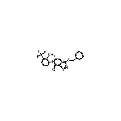 Cc1c(-n2ccn3c(SCc4ccccc4)nnc3c2=O)cccc1C(F)(F)F